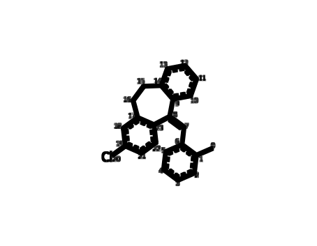 Cc1ccccc1C=C1c2ccccc2CCc2cc(Cl)ccc21